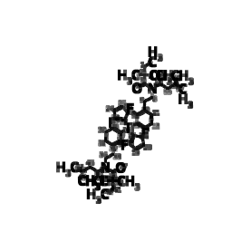 CCC(C)(C)C(=O)N(CCc1ccc(F)[c]([Ti]([C]2=CC=CC2)([C]2=CC=CC2)[c]2c(F)ccc(CCN(C(=O)C(C)(C)CC)C(C)CC(C)C)c2F)c1F)C(C)CC(C)C